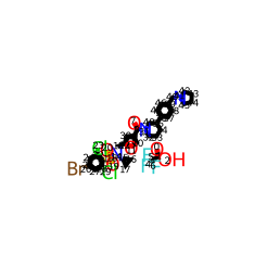 O=C(O)C(F)(F)F.O=C(c1coc(CN(C2CC2)S(=O)(=O)c2c(Cl)cc(Br)cc2Cl)c1)N1CCCC(c2ccc(CN3CCCC3)cc2)C1